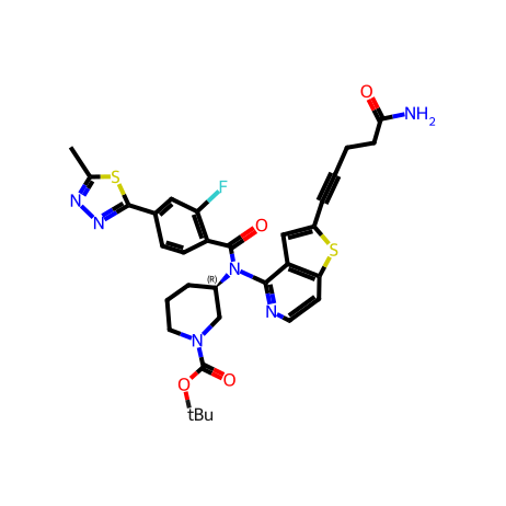 Cc1nnc(-c2ccc(C(=O)N(c3nccc4sc(C#CCCC(N)=O)cc34)[C@@H]3CCCN(C(=O)OC(C)(C)C)C3)c(F)c2)s1